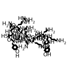 C[C@@H](O)[C@H](N)C(=O)N[C@@H](Cc1ccc(O)cc1)C(=O)N[C@H](C(=O)N[C@@H](CC(N)=O)C(=O)N[C@@H](CCCNC(=N)N)C(=O)N[C@@H](CCN)C(=O)N[C@H](C(=O)N[C@H](CCN)C(=O)N[C@@H](CCCCN)C(=O)N[C@@H](CS)C(=O)N[C@@H](CCN)C(=O)N[C@@H](CCCCN)C(=O)N[C@@H](Cc1ccc(O)cc1)C(=O)O)[C@@H](C)O)C(C)(C)S